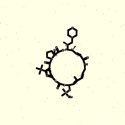 CC1=C\C(O[Si](C)(C)C(C)(C)C)CC(=O)Cc2nc(c([Si](C)(C)C)o2)C(=O)N2CCC[C@@H]2C(=O)O[C@H]([C@@H](C)CN2CCOCC2)[C@H](C)/C=C/C(=O)NC\C=C\1